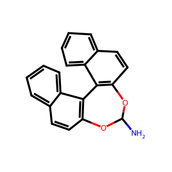 NC1Oc2ccc3ccccc3c2-c2c(ccc3ccccc23)O1